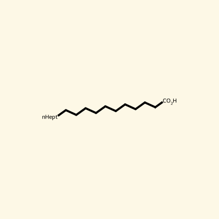 [CH2]CCCCCCCCCCCCCCC[CH]C(=O)O